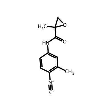 [C-]#[N+]c1ccc(NC(=O)C2(C)CO2)cc1C